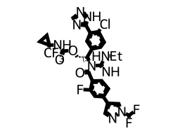 CCNC(=N)N(C(=O)c1ccc(-c2cnn(C(F)F)c2)cc1F)[C@H](COC(=O)NC1(C(F)(F)F)CC1)c1ccc(Cl)c(-c2ncn[nH]2)c1